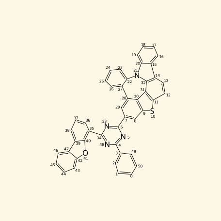 c1ccc(-c2nc(-c3cc4sc5ccc6c7ccccc7n7c8ccccc8c(c3)c4c5c67)nc(-c3cccc4c3oc3ccccc34)n2)cc1